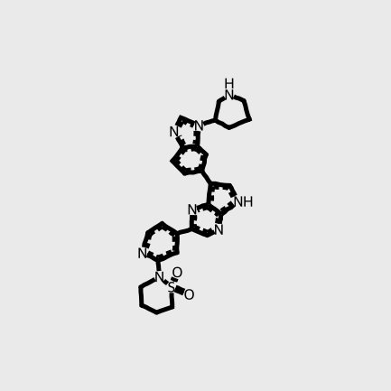 O=S1(=O)CCCCN1c1cc(-c2cnc3[nH]cc(-c4ccc5ncn(C6CCCNC6)c5c4)c3n2)ccn1